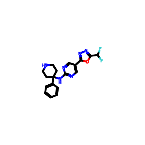 FC(F)c1nnc(-c2cnc(NC3(c4ccccc4)CCNCC3)nc2)o1